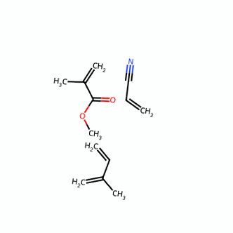 C=C(C)C(=O)OC.C=CC#N.C=CC(=C)C